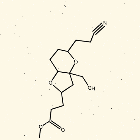 COC(=O)CCC1CC2(CO)OC(CCC#N)CCC2O1